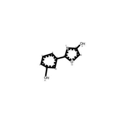 Oc1cccc(-c2nc(O)co2)c1